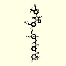 CCc1cc(N2C(=S)N(c3cnc(C#N)c(C(F)(F)F)c3)C(=O)C23CCC3)ccc1OCCN1C[C@H]2CC[C@]1(C)CN2CC(=O)Nc1cccc(NC2CCC(=O)NC2=O)c1